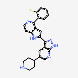 Fc1ccccc1-c1nccc2[nH]c(-c3n[nH]c4ncc(C5CCNCC5)cc34)cc12